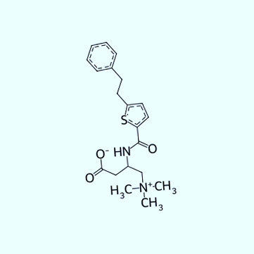 C[N+](C)(C)CC(CC(=O)[O-])NC(=O)c1ccc(CCc2ccccc2)s1